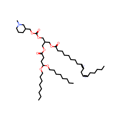 CCCCC/C=C\C/C=C\CCCCCCCC(=O)OCC(COC(=O)CCC(OCCCCCCCC)OCCCCCCCC)COC(=O)OCC1CCCN(C)C1